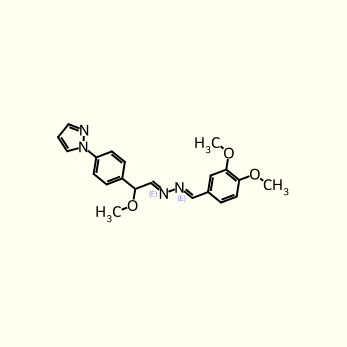 COc1ccc(/C=N/N=C/C(OC)c2ccc(-n3cccn3)cc2)cc1OC